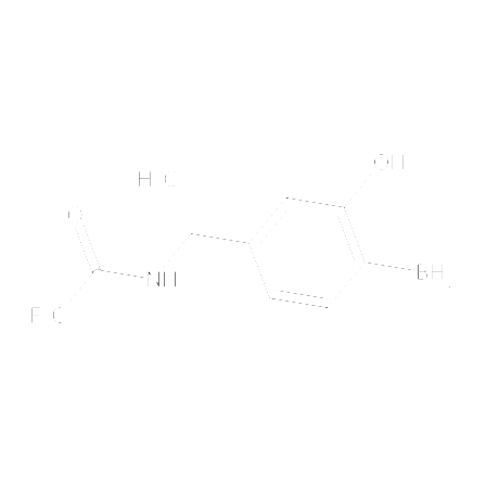 Bc1ccc([C@@H](C)NC(=O)C(F)(F)F)cc1O